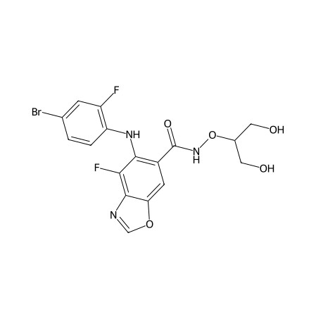 O=C(NOC(CO)CO)c1cc2ocnc2c(F)c1Nc1ccc(Br)cc1F